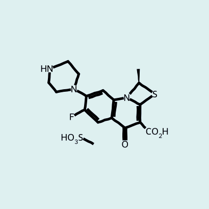 CS(=O)(=O)O.C[C@H]1Sc2c(C(=O)O)c(=O)c3cc(F)c(N4CCNCC4)cc3n21